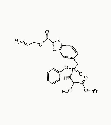 C=CCOC(=O)c1cc2cc(CP(=O)(NC(C)C(=O)OCCC)Oc3ccccc3)ccc2s1